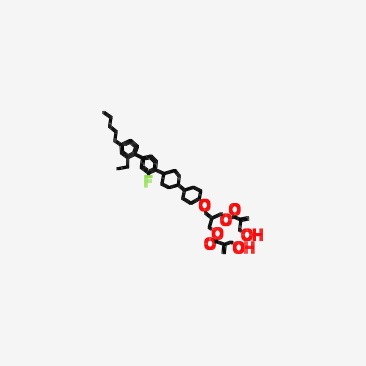 C=C(CO)C(=O)OCC(COC(=O)C(=C)CO)COC1CCC(C2CCC(c3ccc(-c4ccc(CCCCC)cc4CC)cc3F)CC2)CC1